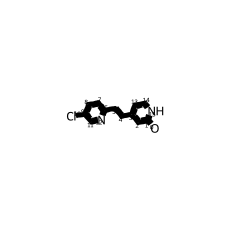 O=c1cc(C=Cc2ccc(Cl)cn2)cc[nH]1